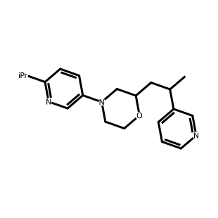 CC(C)c1ccc(N2CCOC(CC(C)c3cccnc3)C2)cn1